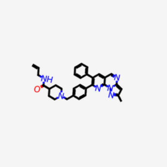 C=CCNC(=O)C1CCN(Cc2ccc(-c3nc4c(cnc5cc(C)nn54)cc3-c3ccccc3)cc2)CC1